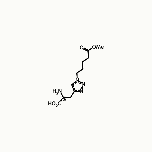 COC(=O)CCCCn1cc(C[C@H](N)C(=O)O)nn1